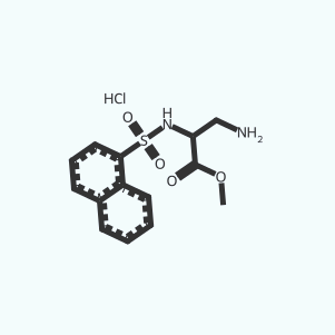 COC(=O)C(CN)NS(=O)(=O)c1cccc2ccccc12.Cl